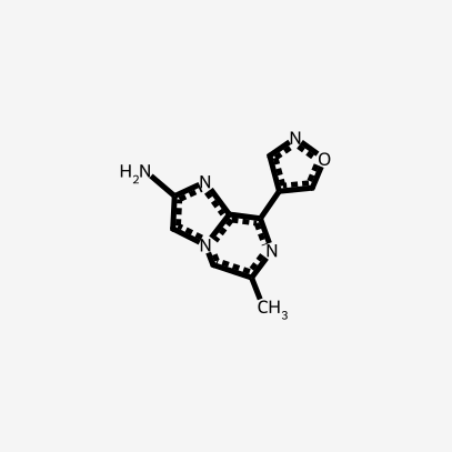 Cc1cn2cc(N)nc2c(-c2cnoc2)n1